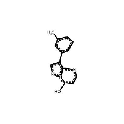 Cc1cccc(-c2cnn3c(O)ccnc23)c1